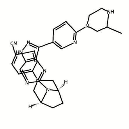 CC1CN(c2ccc(-c3n[nH]c4cnc(N5[C@@H]6CC[C@H]5CN(c5ccc(C#N)cc5)C6)nc34)cn2)CCN1